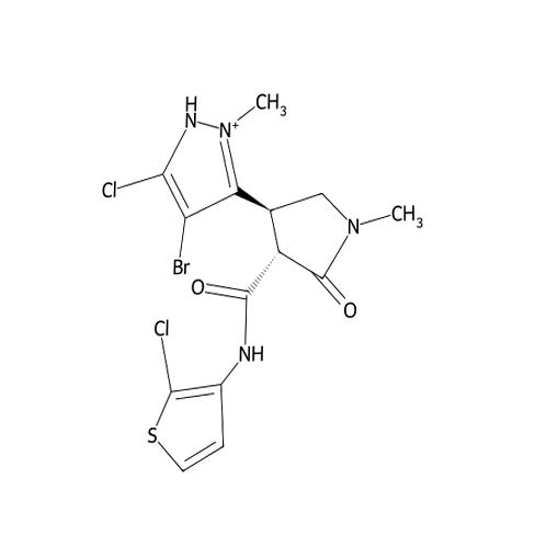 CN1C[C@H](c2c(Br)c(Cl)[nH][n+]2C)[C@@H](C(=O)Nc2ccsc2Cl)C1=O